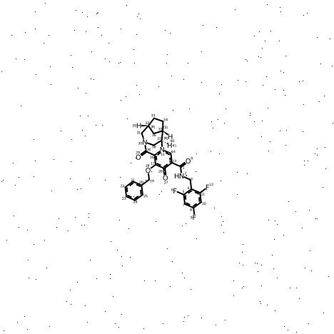 O=C(NCc1c(F)cc(F)cc1F)c1cn2c(c(OCc3ccccc3)c1=O)C(=O)N1C[C@@H]3CC[C@@H](C3)[C@@H]2C1